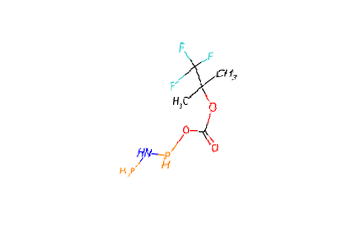 CC(C)(OC(=O)OPNP)C(F)(F)F